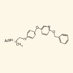 CC(=O)N[C@@H](C)COc1ccc(Oc2ccc(OCc3ccccc3)nc2)cc1